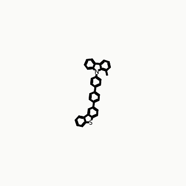 Cc1cccc2c3ccccc3n(-c3ccc(-c4ccc(-c5ccc6sc7ccccc7c6c5)cc4)cc3)c12